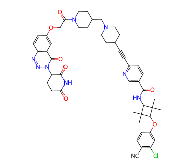 CC1(C)C(NC(=O)c2ccc(C#CC3CCN(CC4CCN(C(=O)COc5ccc6nnn(C7CCC(=O)NC7=O)c(=O)c6c5)CC4)CC3)nc2)C(C)(C)C1Oc1ccc(C#N)c(Cl)c1